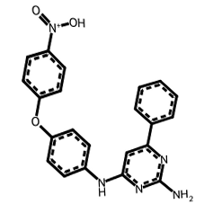 Nc1nc(Nc2ccc(Oc3ccc([N+](=O)O)cc3)cc2)cc(-c2ccccc2)n1